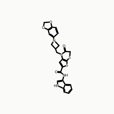 O=C(Nc1c[nH]c2ccccc12)c1cc2c(s1)SCC(=O)N2CC1CN(c2ccc3c(c2)OCO3)C1